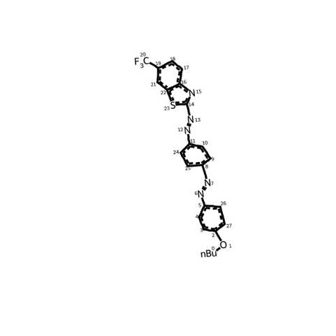 CCCCOc1ccc(N=Nc2ccc(N=Nc3nc4ccc(C(F)(F)F)cc4s3)cc2)cc1